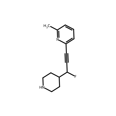 Cc1cccc(C#CC(F)C2CCNCC2)n1